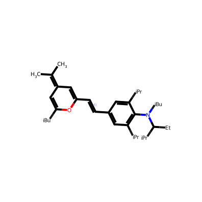 CCC(C)C1=CC(=C(C)C)C=C(/C=C/c2cc(C(C)C)c(N(C(C)CC)C(CC)C(C)C)c(C(C)C)c2)O1